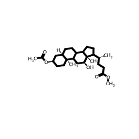 COC(=O)CC[C@@H](C)C1CCC2C3CC[C@@H]4C[C@H](OC(C)=O)CC[C@]4(C)C3C[C@H](O)[C@@]21C